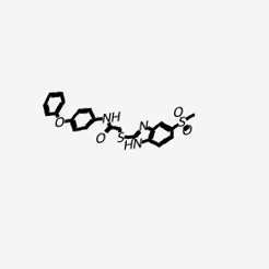 CS(=O)(=O)c1ccc2[nH]c(SCC(=O)Nc3ccc(Oc4ccccc4)cc3)nc2c1